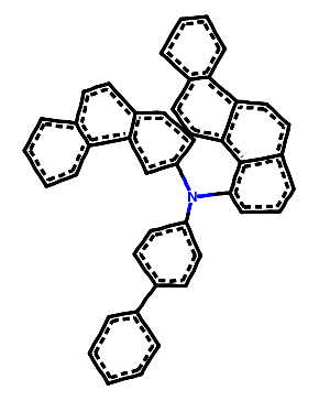 c1ccc(-c2ccc(N(c3ccc4ccc5ccccc5c4c3)c3cccc4ccc5c6ccccc6ccc5c34)cc2)cc1